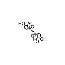 CC(=O)C1C(O)CCN1C(=O)/C=C/C(=O)N1CCC(O)C1C(=O)I